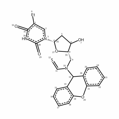 CCc1cn([C@@H]2CC(O)[C@H](CN(C=S)C3c4ccccc4Oc4ccccc43)O2)c(=O)[nH]c1=O